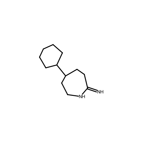 N=C1CCC(C2CCCCC2)CCN1